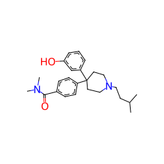 CC(C)CCN1CCC(c2ccc(C(=O)N(C)C)cc2)(c2cccc(O)c2)CC1